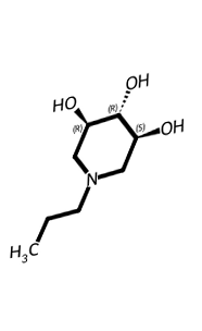 CCCN1C[C@@H](O)[C@H](O)[C@@H](O)C1